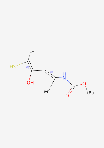 CC/C(S)=C(O)\C=C(\NC(=O)OC(C)(C)C)C(C)C